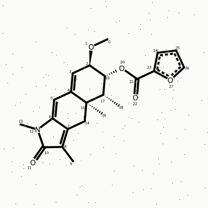 CO[C@@H]1C=C2C=C3C(=C(C)C(=O)N3C)C[C@]2(C)[C@@H](C)[C@H]1OC(=O)c1ccco1